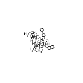 CC(C)(CC(=O)N(CC1CCN(C(=O)OC(C)(C)C)CC1)C(Cc1ccc(-c2ccccc2)cc1)[C@@H]1NC(=O)[C@H](Cc2ccc3ccccc3c2)NC1=O)NC(=O)OC(C)(C)C